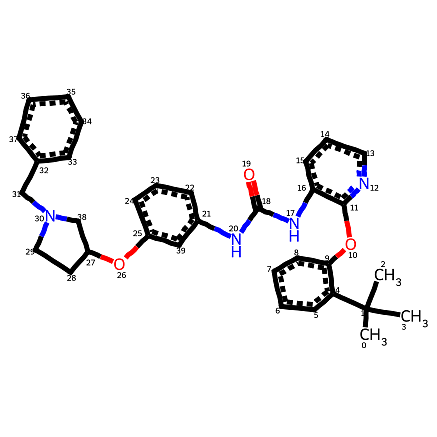 CC(C)(C)c1ccccc1Oc1ncccc1NC(=O)Nc1cccc(OC2CCN(Cc3ccccc3)C2)c1